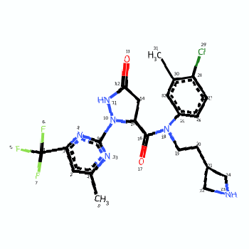 Cc1cc(C(F)(F)F)nc(N2NC(=O)CC2C(=O)N(CCC2CNC2)c2ccc(Cl)c(C)c2)n1